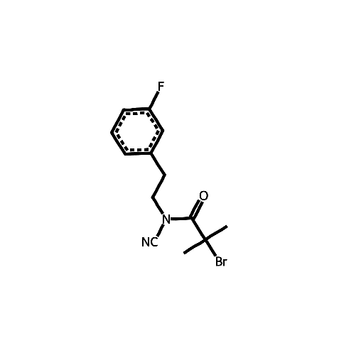 CC(C)(Br)C(=O)N(C#N)CCc1cccc(F)c1